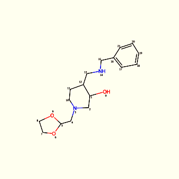 OC1CN(CC2OCCO2)CCC1CNCc1ccccc1